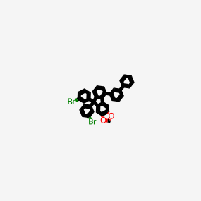 Brc1cccc(C2(c3cccc(Br)c3)c3cc4c(cc3-c3c(-c5cccc(-c6ccccc6)c5)cccc32)OCO4)c1